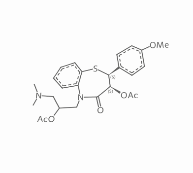 COc1ccc([C@@H]2Sc3ccccc3N(CC(CN(C)C)OC(C)=O)C(=O)[C@@H]2OC(C)=O)cc1